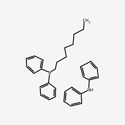 CCCCCCCCN(c1ccccc1)c1ccccc1.c1ccc(Nc2ccccc2)cc1